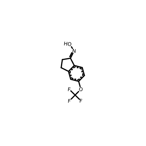 O/N=C1\CCc2cc(OC(F)(F)F)ccc21